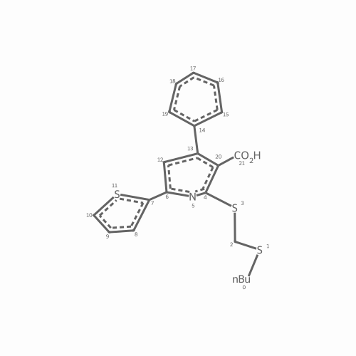 CCCCSCSc1nc(-c2cccs2)cc(-c2ccccc2)c1C(=O)O